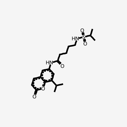 CC(C)c1cc(NC(=O)CCCCNS(=O)(=O)C(C)C)cc2ccc(=O)oc12